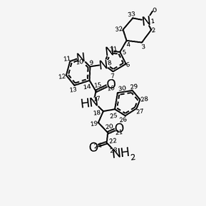 CN1CCC(c2ccn(-c3ncccc3C(=O)NC(CC(=O)C(N)=O)c3ccccc3)n2)CC1